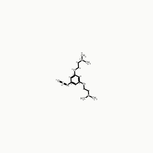 CN(C)CCOc1cc(N=C=O)cc(OCCN(C)C)c1